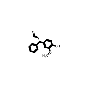 COc1cc([C@@H](CC=O)c2ccccc2)ccc1O